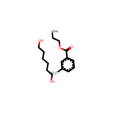 CCCCCCCCCCCCOC(=O)c1cccc(C(=O)O)c1.OCCCCCCO